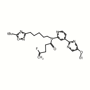 C=C(F)CCC(=O)N(CCCCCc1noc(C(C)(C)C)n1)c1cc(-c2ncc(OCC)cn2)ccn1